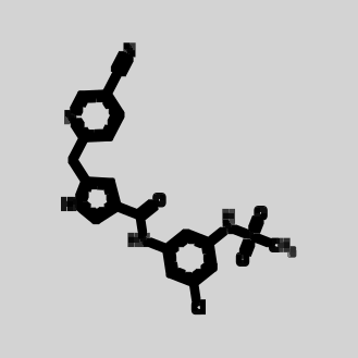 CS(=O)(=O)Nc1cc(Cl)cc(NC(=O)c2c[nH]c(Cc3ccc(C#N)cn3)c2)c1